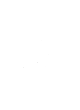 C1COC1.C1COC1.C1COC1.C1COC1.CCOCC